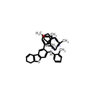 CC1=C\C2=C\NC3(C)CCCC3(C)\C(=C\1)c1cc(C)cc(-c3cc4c5c(sc4cc3Nc3ccccc3C)CCC=C5)c1S2